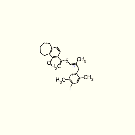 C=C(S/C=C(\C)Cc1cc(C)c(I)cc1C)c1ccc2c(c1Cl)CCCCC2